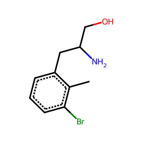 Cc1c(Br)cccc1CC(N)CO